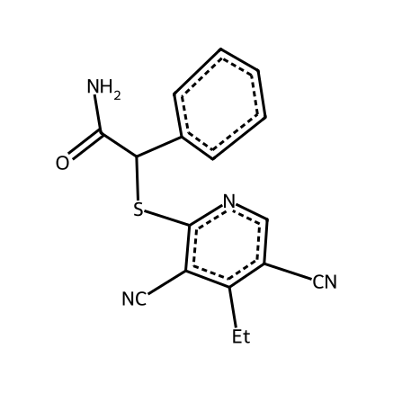 CCc1c(C#N)cnc(SC(C(N)=O)c2ccccc2)c1C#N